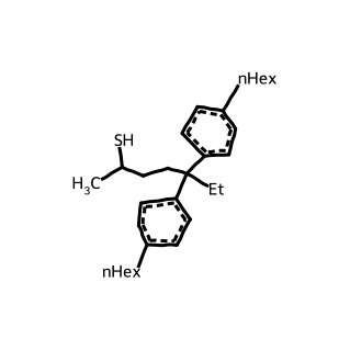 CCCCCCc1ccc(C(CC)(CCC(C)S)c2ccc(CCCCCC)cc2)cc1